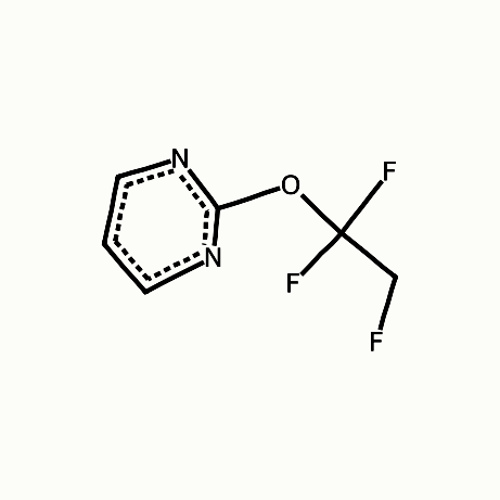 FCC(F)(F)Oc1ncccn1